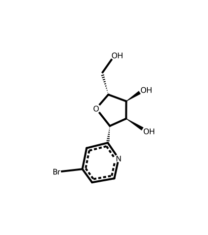 OC[C@H]1O[C@@H](c2cc(Br)ccn2)[C@H](O)[C@@H]1O